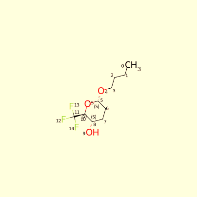 CCCCO[C@@H]1CC[C@H](O)[C@@H](C(F)(F)F)O1